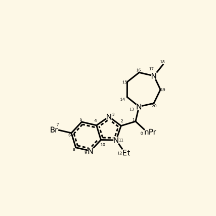 CCCC(c1nc2cc(Br)cnc2n1CC)N1CCCN(C)CC1